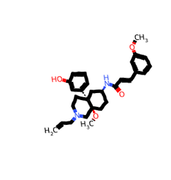 C=CCN1CC[C@@]2(c3cccc(O)c3)C[C@@H](NC(=O)C=Cc3cccc(OC)c3)CC[C@]2(OC)C1